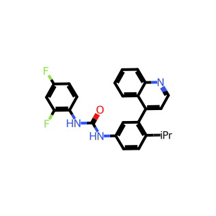 CC(C)c1ccc(NC(=O)Nc2ccc(F)cc2F)cc1-c1ccnc2ccccc12